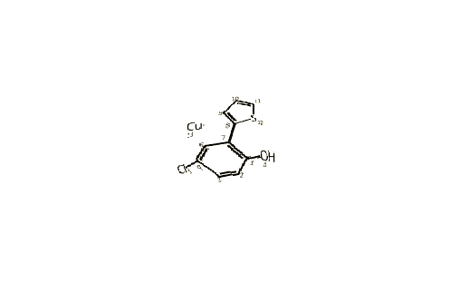 Oc1ccc(Cl)cc1-c1cccs1.[Cu]